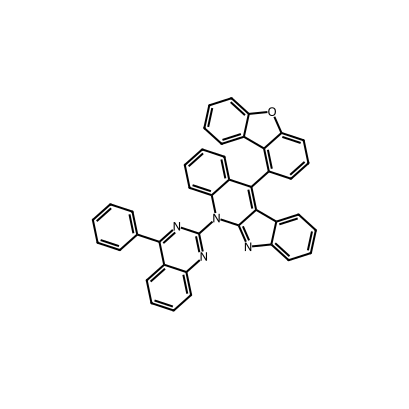 c1ccc(-c2nc(-n3c4nc5ccccc5c-4c(-c4cccc5oc6ccccc6c45)c4ccccc43)nc3ccccc23)cc1